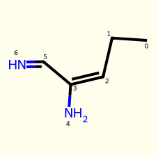 CC/C=C(/N)C=N